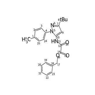 Cc1ccc(-n2nc(C(C)(C)C)cc2NC(=O)C(=O)OCc2ccccc2)cc1